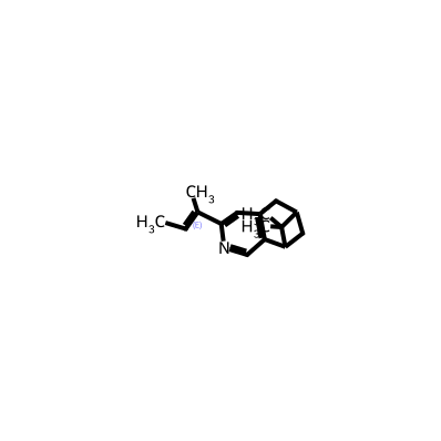 C/C=C(\C)c1cc2c(cn1)C1CC(C2)C1(C)C